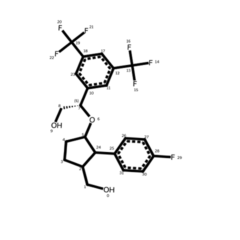 OCC1CCC(O[C@H](CO)c2cc(C(F)(F)F)cc(C(F)(F)F)c2)C1c1ccc(F)cc1